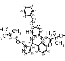 CC(C)(C)C(=O)CN1C(=O)C(NC(=O)OCc2ccccc2)N=C(c2ccnn2COCC[Si](C)(C)C)c2ccccc21